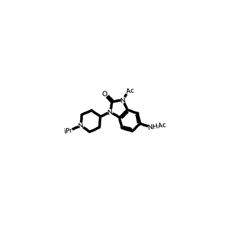 CC(=O)Nc1ccc2c(c1)n(C(C)=O)c(=O)n2C1CCN(C(C)C)CC1